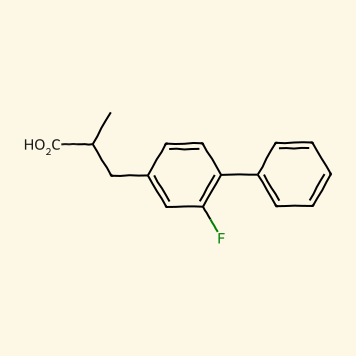 CC(Cc1ccc(-c2ccccc2)c(F)c1)C(=O)O